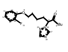 CCC(C)C(=O)C(CCCCOc1ccccc1F)n1cncn1